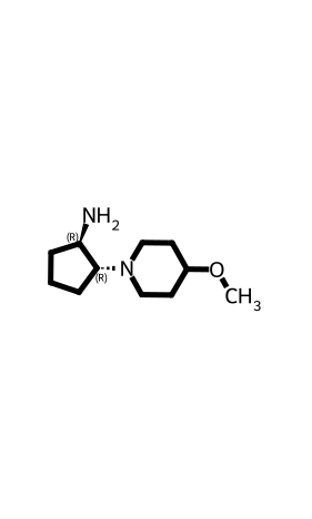 COC1CCN([C@@H]2CCC[C@H]2N)CC1